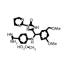 CC(=O)O.COCc1cc(OC)cc(C(Nc2ccc(C(=N)N)cc2)c2nn(-c3ncccn3)c(=O)[nH]2)c1